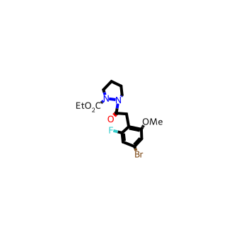 CCOC(=O)N1CCCCN1C(=O)Cc1c(F)cc(Br)cc1OC